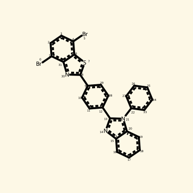 Brc1ccc(Br)c2sc(-c3ccc(-c4nc5ccccc5n4-c4ccccc4)cc3)nc12